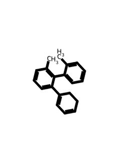 Cc1ccccc1-c1c(C)cccc1C1=CC=CCC1